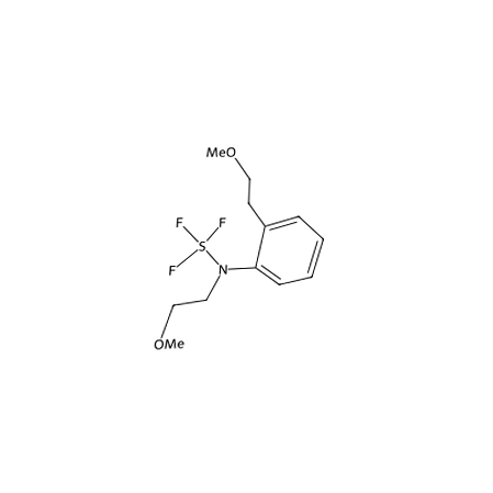 COCCc1ccccc1N(CCOC)S(F)(F)F